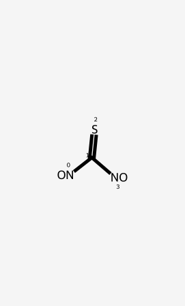 O=NC(=S)N=O